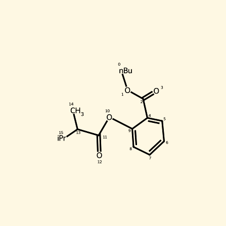 CCCCOC(=O)c1ccccc1OC(=O)C(C)C(C)C